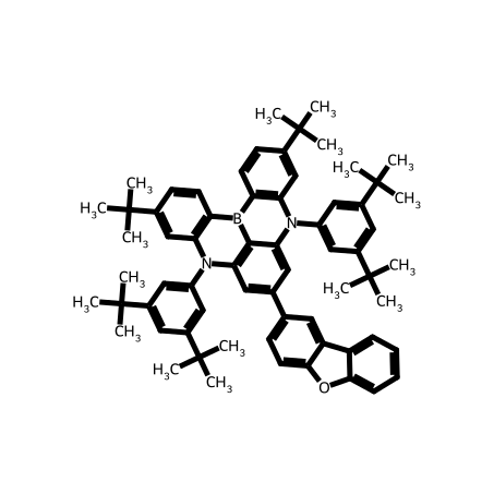 CC(C)(C)c1cc(N2c3cc(C(C)(C)C)ccc3B3c4ccc(C(C)(C)C)cc4N(c4cc(C(C)(C)C)cc(C(C)(C)C)c4)c4cc(-c5ccc6oc7ccccc7c6c5)cc2c43)cc(C(C)(C)C)c1